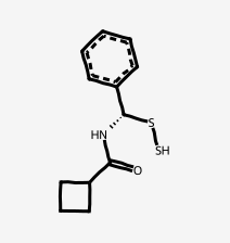 O=C(N[C@@H](SS)c1ccccc1)C1CCC1